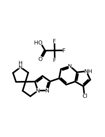 Clc1c[nH]c2ncc(-c3cc4n(n3)CCC43CCNC3)cc12.O=C(O)C(F)(F)F